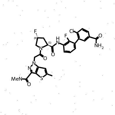 CNC(=O)c1nn(CC(=O)N2C[C@H](F)C[C@H]2C(=O)Nc2cccc(-c3cc(C(N)=O)ccc3Cl)c2F)c2cc(C)sc12